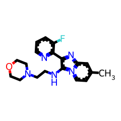 Cc1ccn2c(NCCN3CCOCC3)c(-c3ncccc3F)nc2c1